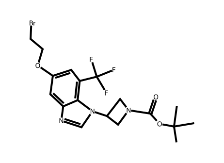 CC(C)(C)OC(=O)N1CC(n2cnc3cc(OCCBr)cc(C(F)(F)F)c32)C1